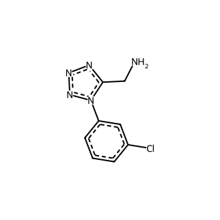 NCc1nnnn1-c1cccc(Cl)c1